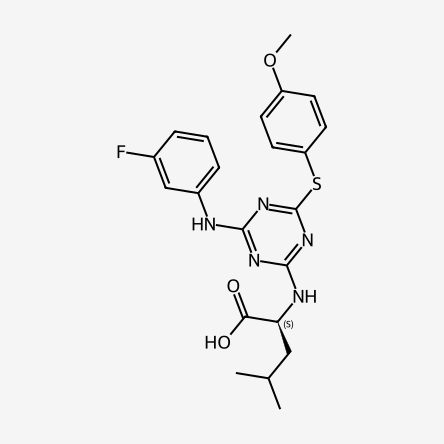 COc1ccc(Sc2nc(Nc3cccc(F)c3)nc(N[C@@H](CC(C)C)C(=O)O)n2)cc1